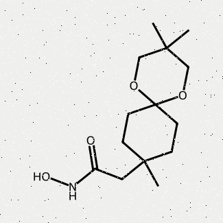 CC1(C)COC2(CCC(C)(CC(=O)NO)CC2)OC1